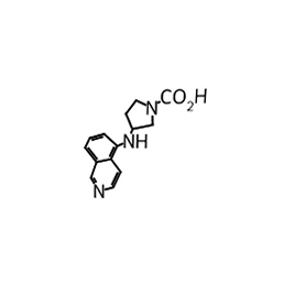 O=C(O)N1CCC(Nc2cccc3cnccc23)C1